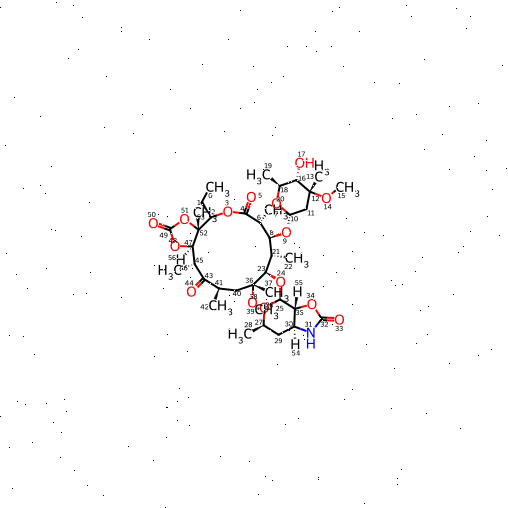 CC[C@H]1OC(=O)[C@H](C)[C@@H](O[C@H]2C[C@@](C)(OC)[C@@H](O)[C@H](C)O2)[C@H](C)[C@@H](O[C@@H]2O[C@H](C)C[C@@H]3NC(=O)O[C@@H]23)[C@](C)(OC)C[C@@H](C)C(=O)[C@H](C)[C@H]2OC(=O)O[C@@]21C